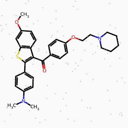 COc1ccc2c(C(=O)c3ccc(OCCN4CCCCC4)cc3)c(-c3ccc(N(C)C)cc3)sc2c1